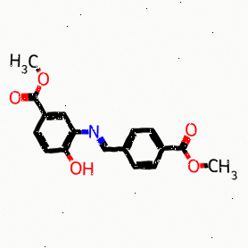 COC(=O)c1ccc(C=Nc2cc(C(=O)OC)ccc2O)cc1